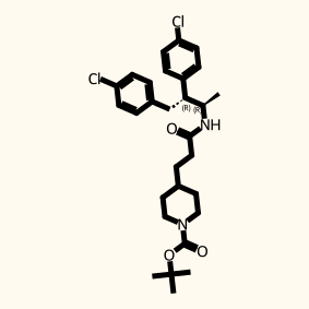 C[C@@H](NC(=O)CCC1CCN(C(=O)OC(C)(C)C)CC1)[C@H](Cc1ccc(Cl)cc1)c1ccc(Cl)cc1